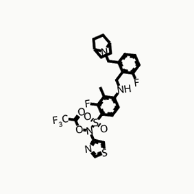 Cc1c(NCc2c(F)cccc2CN2C3CCC2CC3)ccc(S(=O)(=O)N(OC(=O)C(F)(F)F)c2cscn2)c1F